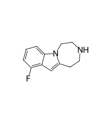 Fc1cccc2c1cc1n2CCNCC1